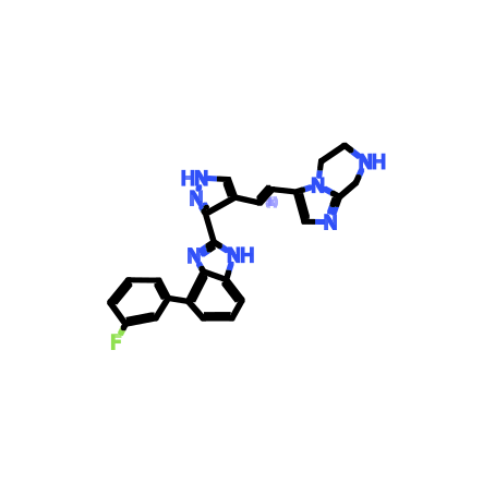 Fc1cccc(-c2cccc3[nH]c(-c4n[nH]cc4/C=C/c4cnc5n4CCNC5)nc23)c1